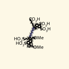 COCCNS(=O)(=O)c1cc(S(=O)(=O)O)cc2c3c(ccc12)[N+](CCOC)=C(/C=C/C=C/C=C/C=C1/N(CCCCCC(=O)O)c2ccc4c(S(=O)(=O)O)cc(S(=O)(=O)O)cc4c2C1(C)C)C3(C)CCCS(=O)(=O)O